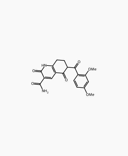 COc1ccc(C(=O)C2CCc3[nH]c(=O)c(C(N)=O)cc3C2=O)c(OC)c1